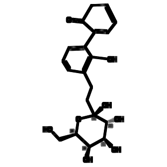 O=C1CC=CC=C1c1cccc(CC[C@@]2(O)O[C@H](CO)[C@H](O)[C@H](O)[C@H]2O)c1O